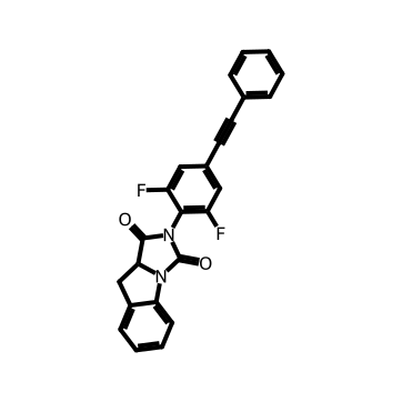 O=C1C2Cc3ccccc3N2C(=O)N1c1c(F)cc(C#Cc2ccccc2)cc1F